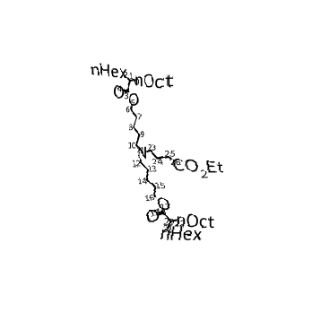 CCCCCCCCC(CCCCCC)C(=O)OCCCCCN(CCCCCOC(=O)C(CCCCCC)CCCCCCCC)CCCC(=O)OCC